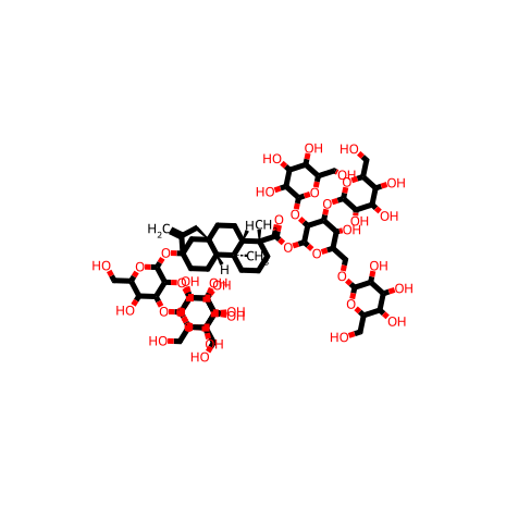 C=C1C[C@@]23CC[C@H]4[C@@](C)(CCC[C@@]4(C)C(=O)OC4OC(COC5OC(CO)C(O)C(O)C5O)C(O)C(OC5OC(CO)C(O)C(O)C5O)C4OC4OC(CO)C(O)C(O)C4O)[C@@H]2CCC1(OC1OC(CO)C(O)C(OC2OC(CO)C(O)C(O)C2O)C1OC1OC(CO)C(O)C(O)C1O)C3